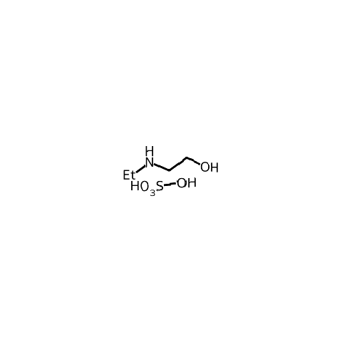 CCNCCO.O=S(=O)(O)O